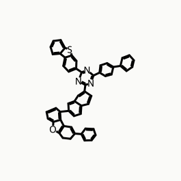 C1=C(c2ccccc2)CCc2oc3cccc(-c4ccc5ccc(-c6nc(-c7ccc(-c8ccccc8)cc7)nc(-c7ccc8c(c7)sc7ccccc78)n6)cc5c4)c3c21